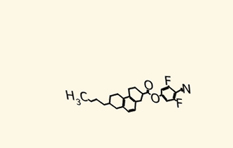 CCCCC1CCc2c(ccc3c2CCC(C(=O)Oc2cc(F)c(C#N)c(F)c2)C3)C1